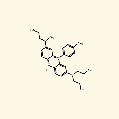 COc1ccc(-[n+]2c3cc(N(C)CCO)ccc3nc3ccc(N(CCC#N)CCC#N)cc32)cc1.[I-]